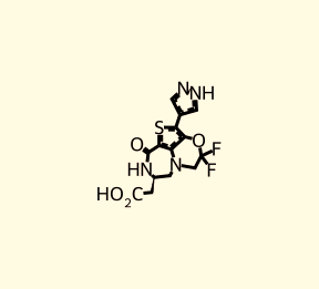 O=C(O)C[C@@H]1CN2CC(F)(F)Oc3c(-c4cn[nH]c4)sc(c32)C(=O)N1